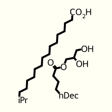 CC(C)CCCCCCCCCCCCCCC(=O)O.CCCCCCCCCCCCCC(=O)OCC(O)CO